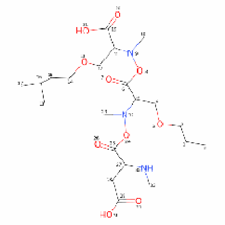 CCCOCC(C(=O)ON(C)C(COCCC(C)C)C(=O)O)N(C)OC(=O)C(CC(=O)O)NC